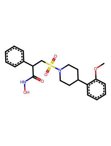 COc1ccccc1C1CCN(S(=O)(=O)CC(C(=O)NO)c2ccccc2)CC1